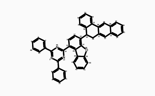 c1ccc(-c2nc(-c3ccccc3)nc(-c3ccc(C4Cc5cc6ccccc6cc5-c5ccccc54)c4oc5ccccc5c34)n2)cc1